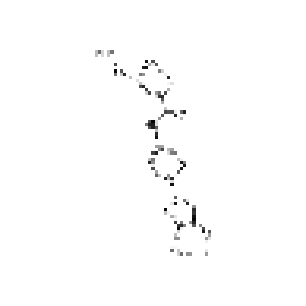 CCCOc1cccc(C(=O)Nc2ccc(-c3nc4ccccc4s3)cc2)c1